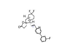 O=C1CC[C@@]2(C[C@H]3CC(F)(F)CC[C@H]3[C@@H]2/C=C/c2ccc(-c3cccc(F)c3)cn2)O1